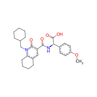 COc1ccc([C@@H](NC(=O)c2cc3c(n(CC4CCCCC4)c2=O)CCCC3)C(=O)O)cc1